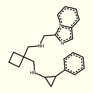 c1ccc(C2CC2NCC2(CNCc3ncc4ccccn34)CCC2)cc1